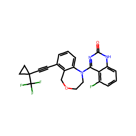 O=c1nc(N2CCOCc3c(C#CC4(C(F)(F)F)CC4)cccc32)c2c(F)cccc2[nH]1